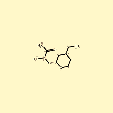 CCN1CCO[C@H](CN(C)C(C)=O)C1